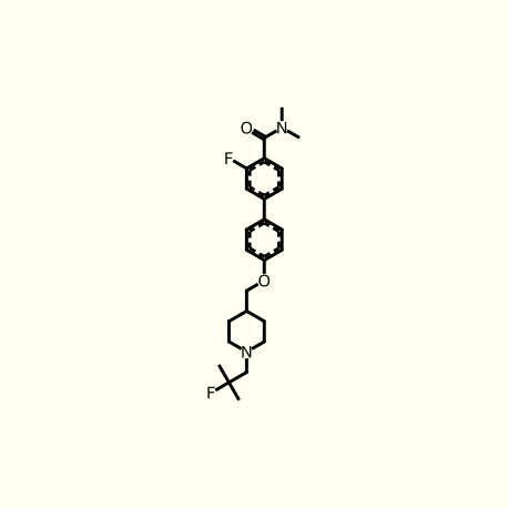 CN(C)C(=O)c1ccc(-c2ccc(OCC3CCN(CC(C)(C)F)CC3)cc2)cc1F